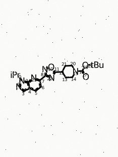 CC(C)n1ncc2ccc(-c3noc(C4CCN(C(=O)OC(C)(C)C)CC4)n3)nc21